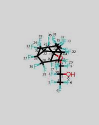 OC(F)(C(F)(F)F)C(F)(F)OC1(C(F)(F)F)C2(F)C(F)(F)C3(F)C(F)(F)C(F)(C2(F)F)C(F)(F)C1(F)C3(F)F